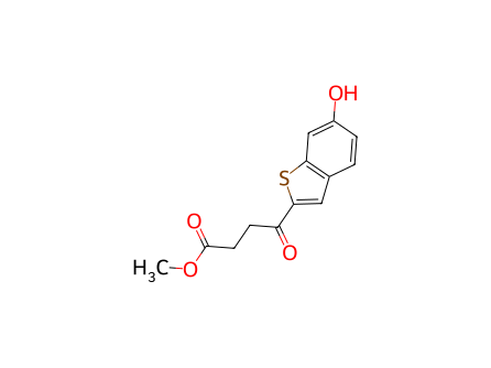 COC(=O)CCC(=O)c1cc2ccc(O)cc2s1